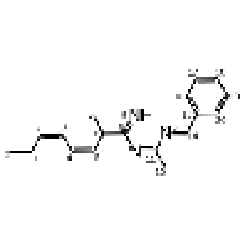 CC/C=C\C=C/C(C)C(=N)/N=C(C)\N=C\c1ccccc1